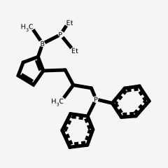 CCP(CC)B(C)C1=C(CC(C)CP(c2ccccc2)c2ccccc2)C=CC1